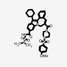 COc1ccc(S(=O)(=O)N2CCN(C(=O)C3=Cc4ccccc4-c4c(C5CCCCC5)c5ccc(C(=O)NS(=O)(=O)N(C)C)cc5n4C3)CC2)cc1